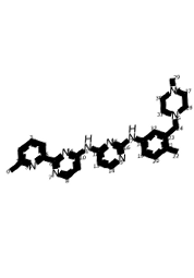 Cc1cccc(-c2nccc(Nc3ccnc(Nc4ccc(C)c(CN5CCN(C)CC5)c4)n3)n2)n1